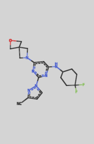 N#Cc1ccn(-c2nc(NC3CCC(F)(F)CC3)cc(N3CC4(COC4)C3)n2)n1